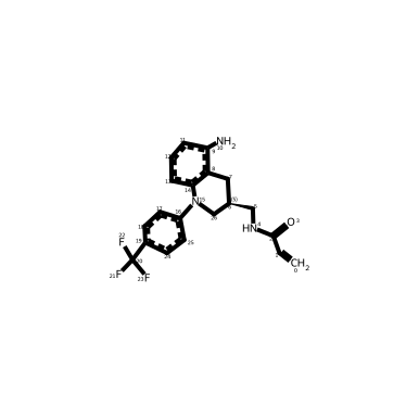 C=CC(=O)NC[C@@H]1Cc2c(N)cccc2N(c2ccc(C(F)(F)F)cc2)C1